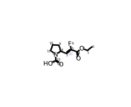 CCOC(=O)/C(F)=C/C1CCCN1C(=O)O